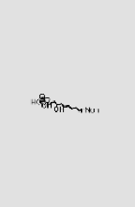 CCCCCCCCCCCCCCC[C@@H](O)CCOP(=O)(O)O